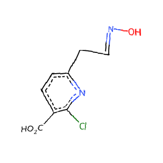 O=C(O)c1ccc(CC=NO)nc1Cl